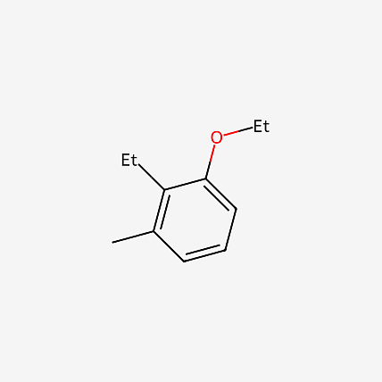 CCOc1cccc(C)c1CC